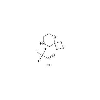 C1COC2(CN1)COC2.O=C(O)C(F)(F)F